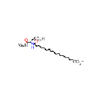 CNC(=O)[C@H](CS(=O)(=O)O)NC(=O)CCCCCCCCCCCCCCCCC(=O)O